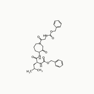 CC(C)C[C@H](NC(=O)OCc1ccccc1)C(=O)NC1CCCN(C(=O)CNC(=O)OCc2ccccc2)CC1=O